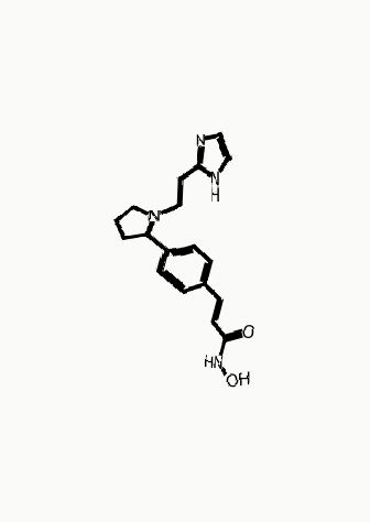 O=C(/C=C/c1ccc(C2CCCN2CCc2ncc[nH]2)cc1)NO